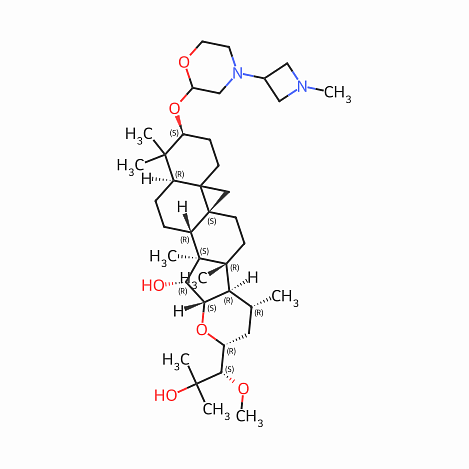 CO[C@@H]([C@H]1C[C@@H](C)[C@H]2[C@H](O1)[C@H](O)[C@@]1(C)[C@@H]3CC[C@H]4C(C)(C)[C@@H](OC5CN(C6CN(C)C6)CCO5)CCC45C[C@@]35CC[C@]21C)C(C)(C)O